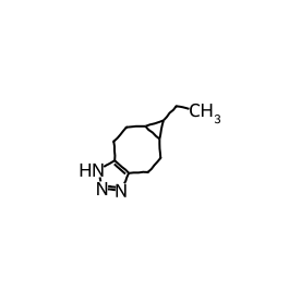 CCC1C2CCc3nn[nH]c3CCC12